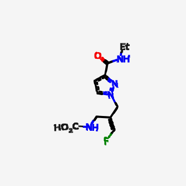 CCNC(=O)c1ccn(C/C(=C/F)CNC(=O)O)n1